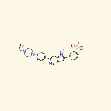 Cc1nc(-c2ccc(N3CCN(CC(C)C)CC3)cc2)cc2[nH]c(-c3cccc(S(C)(=O)=O)c3)cc12